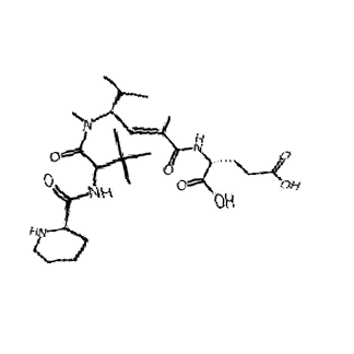 C/C(=C\[C@H](C(C)C)N(C)C(=O)C(NC(=O)[C@H]1CCCCN1)C(C)(C)C)C(=O)N[C@H](CCC(=O)O)C(=O)O